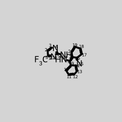 FC(F)(F)c1ccnc(NNc2c3ccccc3nc3ccccc23)n1